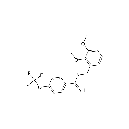 COc1cccc(CNC(=N)c2ccc(OC(F)(F)F)cc2)c1OC